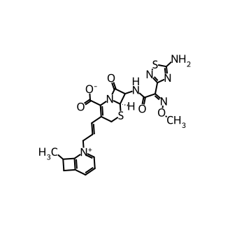 CO/N=C(\C(=O)NC1C(=O)N2C(C(=O)[O-])=C(/C=C/C[n+]3cccc4c3C(C)C4)CS[C@H]12)c1nsc(N)n1